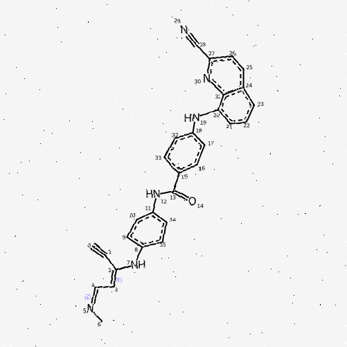 C#C/C(=C\C=N/C)Nc1ccc(NC(=O)c2ccc(Nc3cccc4ccc(C#N)nc34)cc2)cc1